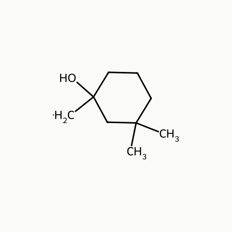 [CH2]C1(O)CCCC(C)(C)C1